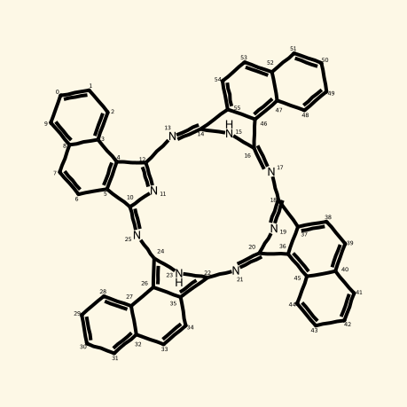 c1ccc2c3c(ccc2c1)-c1nc-3nc2[nH]c(nc3nc(nc4[nH]c(n1)c1c5ccccc5ccc41)-c1c-3ccc3ccccc13)c1c3ccccc3ccc21